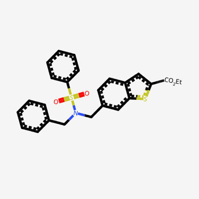 CCOC(=O)c1cc2ccc(CN(Cc3ccccc3)S(=O)(=O)c3ccccc3)cc2s1